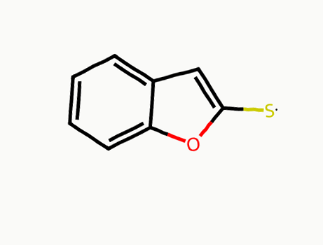 [S]c1cc2ccccc2o1